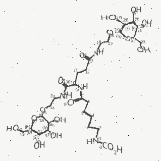 O=C(O)NCCCCCC(=O)NC(CCC(=O)NCCO[C@H]1O[C@H](CO)[C@@H](O)[C@H](O)[C@@H]1O)C(=O)NCCO[C@H]1O[C@H](CO)[C@@H](O)[C@H](O)[C@@H]1O